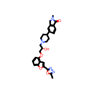 Cc1nnc(-c2cc3c(OC[C@@H](O)CN4CCC(c5ccc6c(c5)CN(C)C6=O)CC4)cccc3o2)o1